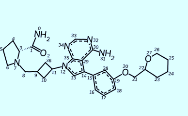 NC(=O)[C@H]1CCCN1CC1CC(n2cc(-c3cccc(OCC4CCCCO4)c3)c3c(N)ncnc32)C1